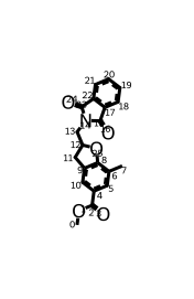 COC(=O)c1cc(C)c2c(c1)CC(CN1C(=O)c3ccccc3C1=O)O2